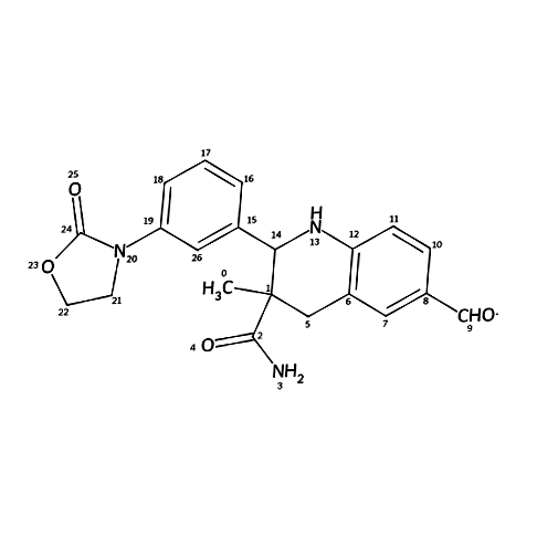 CC1(C(N)=O)Cc2cc([C]=O)ccc2NC1c1cccc(N2CCOC2=O)c1